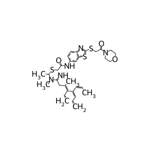 C=C/C=C(/C=C\C)C(\C=C)=C(/C)CC(=N)N(C)C(C)SCC(=O)Nc1ccc2nc(SCC(=O)N3CCOCC3)sc2c1